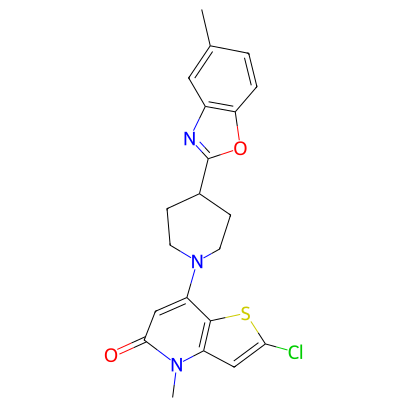 Cc1ccc2oc(C3CCN(c4cc(=O)n(C)c5cc(Cl)sc45)CC3)nc2c1